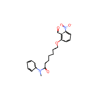 CN(C(=O)CCCCCCOc1cccc([N+](=O)[O-])c1C=O)c1ccccc1